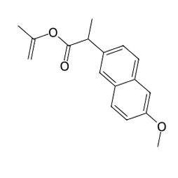 C=C(C)OC(=O)C(C)c1ccc2cc(OC)ccc2c1